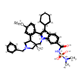 COc1ccc2c(c1)C1CN(Cc3ccccc3)CC1(C=O)Cn1c-2c(C2CCCCC2)c2ccc(C(=O)NS(=O)(=O)N(C)C)cc21